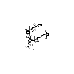 C#CCOC(=O)NCC(=O)Nc1cc(NC(=O)[C@H](CCCNC(N)=O)NC(=O)[C@@H](NC(=O)CCOCCN2C(=O)C=CC2=O)C(C)C)ccc1[CH2]